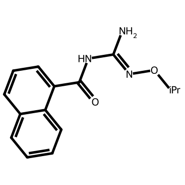 CC(C)ON=C(N)NC(=O)c1cccc2ccccc12